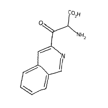 NC(C(=O)O)C(=O)c1cc2ccccc2cn1